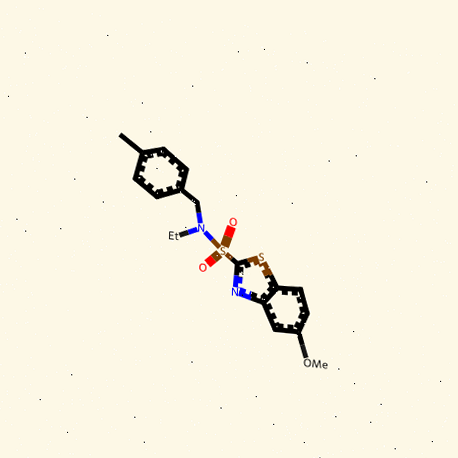 CCN(Cc1ccc(C)cc1)S(=O)(=O)c1nc2cc(OC)ccc2s1